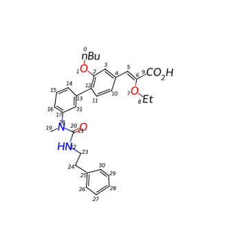 CCCCOc1cc(/C=C(\OCC)C(=O)O)ccc1-c1cccc(N(C)C(=O)NCCc2ccccc2)c1